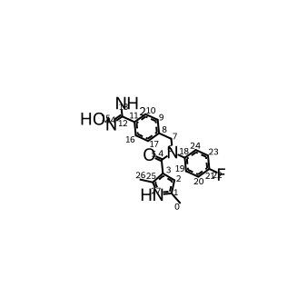 Cc1cc(C(=O)N(Cc2ccc(C(N)=NO)cc2)c2ccc(F)cc2)c(C)[nH]1